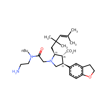 CCCCN(CCN)C(=O)CN1C[C@H](c2ccc3c(c2)CCO3)[C@@H](C(=O)O)[C@@H]1CC(C)(C)C=C(C)C